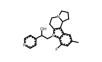 Cc1cc(F)c2c(c1)c1c(n2CC(O)c2ccncc2)CCN2CCCC12